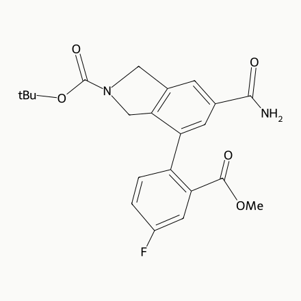 COC(=O)c1cc(F)ccc1-c1cc(C(N)=O)cc2c1CN(C(=O)OC(C)(C)C)C2